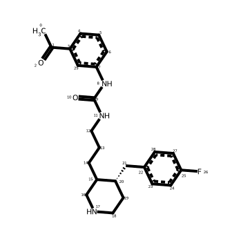 CC(=O)c1cccc(NC(=O)NCCCC2CNCC[C@H]2Cc2ccc(F)cc2)c1